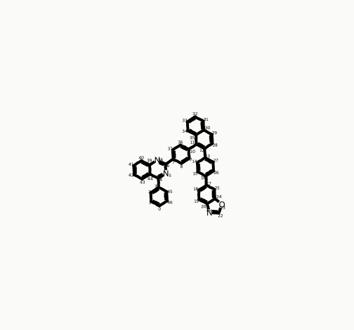 c1ccc(-c2nc(-c3ccc(-c4c(-c5ccc(-c6ccc7ncoc7c6)cc5)ccc5ccccc45)cc3)nc3ccccc23)cc1